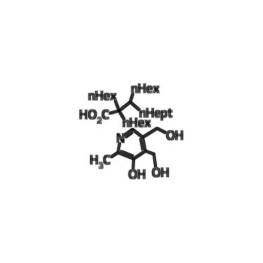 CCCCCCCC(CCCCCC)C(CCCCCC)(CCCCCC)C(=O)O.Cc1ncc(CO)c(CO)c1O